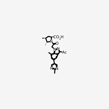 CC(=O)c1nn(CC(=O)N2[C@H](C)[C@@H](C)C[C@H]2C(=O)O)c2c(C)cc(-c3cnc(C)nc3)cc12